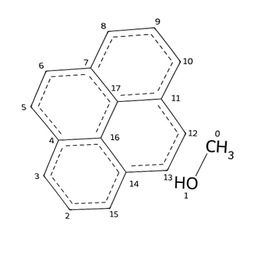 CO.c1cc2ccc3cccc4ccc(c1)c2c34